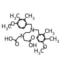 COc1ccc(CN(CCN(CC(=O)O)CC(=O)O)Cc2ccc(OC)c(C)c2C)c(C)c1C